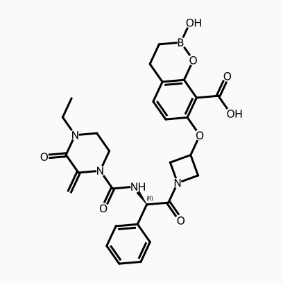 C=C1C(=O)N(CC)CCN1C(=O)N[C@@H](C(=O)N1CC(Oc2ccc3c(c2C(=O)O)OB(O)CC3)C1)c1ccccc1